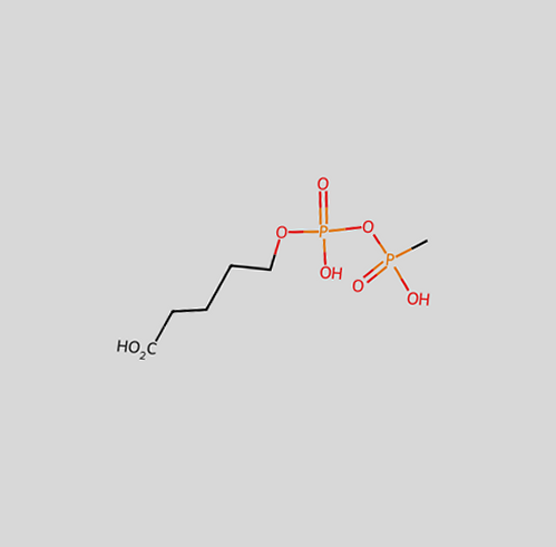 CP(=O)(O)OP(=O)(O)OCCCCC(=O)O